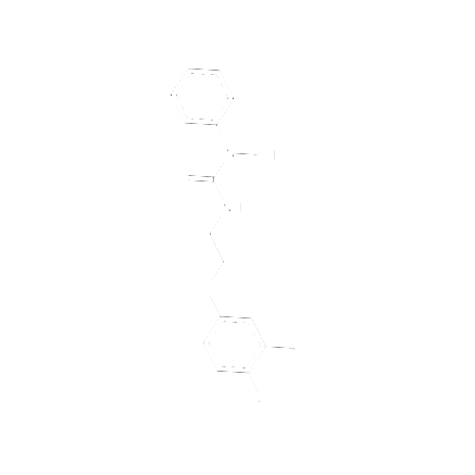 O=C(NCCSc1ccc(Cl)c(Cl)c1)N(S)c1cc[c]cc1